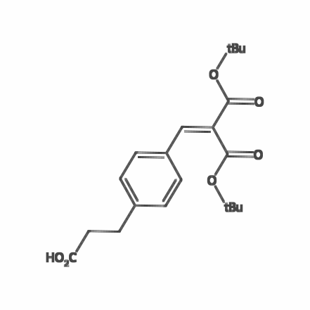 CC(C)(C)OC(=O)C(=Cc1ccc(CCC(=O)O)cc1)C(=O)OC(C)(C)C